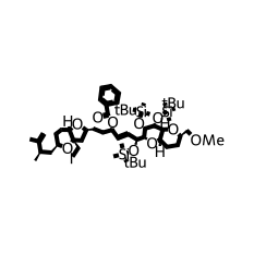 C=C(C)[C@H](C)C[C@H]1CC[C@@H]2O[C@@H](CCC(/C=C/[C@H](O[Si](C)(C)C(C)(C)C)[C@@H]3O[C@H]4CC[C@H](COC)O[C@@H]4[C@H](O[Si](C)(C)C(C)(C)C)[C@@H]3O[Si](C)(C)C(C)(C)C)OC(=O)c3ccccc3)C[C@]2(CI)O1